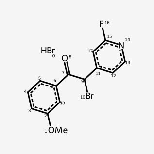 Br.COc1cccc(C(=O)C(Br)c2ccnc(F)c2)c1